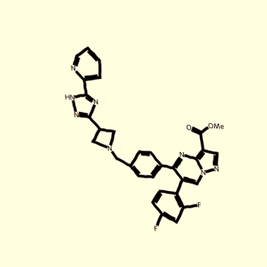 COC(=O)c1cnn2cc(-c3ccc(F)cc3F)c(-c3ccc(CN4CC(c5n[nH]c(-c6ccccn6)n5)C4)cc3)nc12